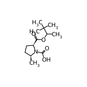 CC(OC(=O)[C@@H]1CC[C@H](C)N1C(=O)O)C(C)(C)C